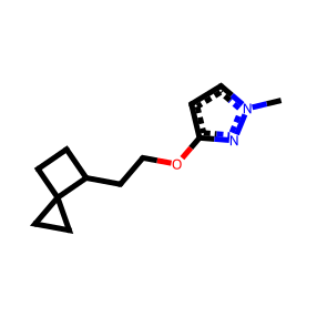 Cn1ccc(OCCC2CCC23CC3)n1